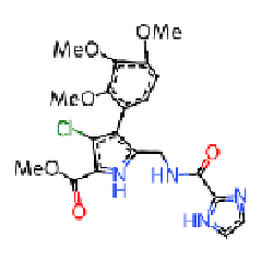 COC(=O)c1[nH]c(CNC(=O)c2ncc[nH]2)c(-c2ccc(OC)c(OC)c2OC)c1Cl